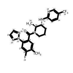 Cc1cc(C(=O)N2CCC[C@@H](Nc3ccc(C(F)(F)F)cn3)[C@@H]2C)c(-n2nccn2)cc1F